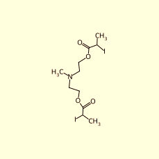 CC(I)C(=O)OCCN(C)CCOC(=O)C(C)I